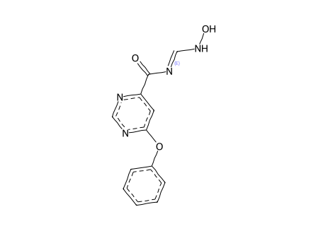 O=C(/N=C/NO)c1cc(Oc2ccccc2)ncn1